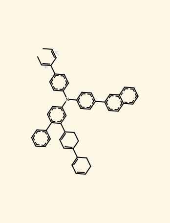 C/C=C\C(=C/C)c1ccc(N(c2ccc(-c3ccc4ccccc4c3)cc2)c2ccc(-c3ccccc3)c(C3=CC=C(C4=CC=CCC4)CC3)c2)cc1